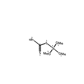 CCCC(=S)S[Si](OC)(OC)OC